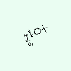 C[C@@H](CO)NS(=O)(=O)c1ccc(C(C)(C)C)cc1